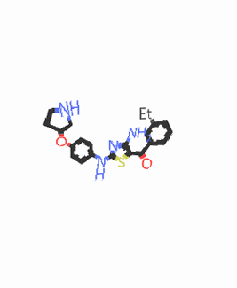 CCc1cccc(C(=O)c2sc(Nc3ccc(OC4CCNC4)cc3)nc2N)c1